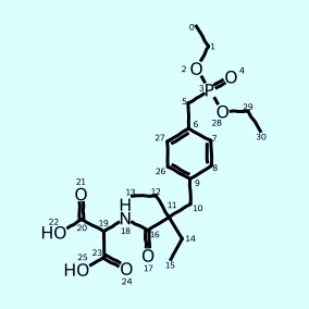 CCOP(=O)(Cc1ccc(CC(CC)(CC)C(=O)NC(C(=O)O)C(=O)O)cc1)OCC